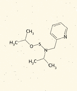 CC(C)OSN(Cc1ccccn1)C(C)C